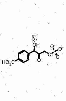 O=C(O)c1ccc(C(O)C(=O)COP(=O)([O-])[O-])cc1.[K+].[K+]